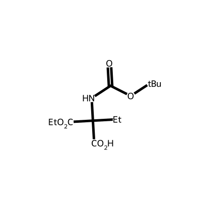 CCOC(=O)C(CC)(NC(=O)OC(C)(C)C)C(=O)O